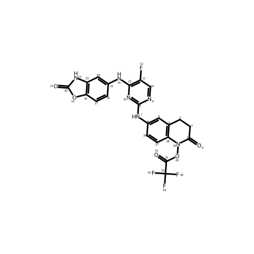 O=C1CCc2cc(Nc3ncc(F)c(Nc4ccc5oc(=O)[nH]c5c4)n3)ccc2N1OC(=O)C(F)(F)F